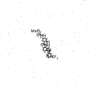 COCC(=O)NCc1ccc(Cl)c(C(=O)Nc2cccc3c2cnn3-c2cncc(C(F)(F)F)c2)c1